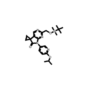 CC(C)Oc1ccc(N2C(=O)C3(CC3)c3cnc(CO[Si](C)(C)C(C)(C)C)nc32)cn1